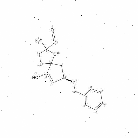 CC1(C=O)COC2(C[C@@H](OCc3ccccc3)C=C2O)O1